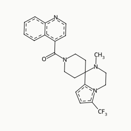 CN1CCn2c(C(F)(F)F)ccc2C12CCN(C(=O)c1ccnc3ccccc13)CC2